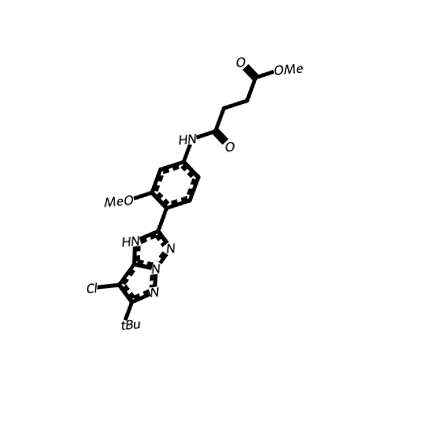 COC(=O)CCC(=O)Nc1ccc(-c2nn3nc(C(C)(C)C)c(Cl)c3[nH]2)c(OC)c1